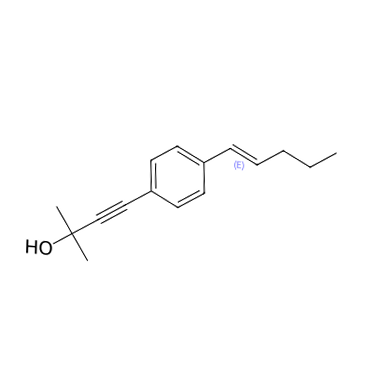 CCC/C=C/c1ccc(C#CC(C)(C)O)cc1